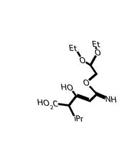 CCOC(COC(=N)/C=C(\O)C(C(=O)O)C(C)C)OCC